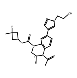 CC(=O)N1c2ccc(-c3cnn(CCO)c3)cc2N(C(=O)OC2CC(F)(F)C2)C[C@@H]1C